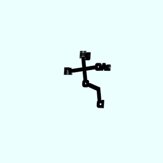 CC[C]([Hg])(OCCl)OC(C)=O